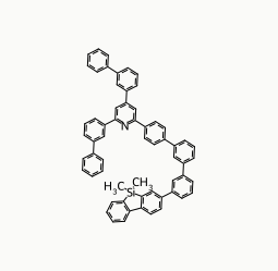 C[Si]1(C)c2ccccc2-c2ccc(-c3cccc(-c4cccc(-c5ccc(-c6cc(-c7cccc(-c8ccccc8)c7)cc(-c7cccc(-c8ccccc8)c7)n6)cc5)c4)c3)cc21